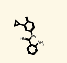 C=C1C=C=C(NC(=N)c2ccccc2N)C=C1C1CC1